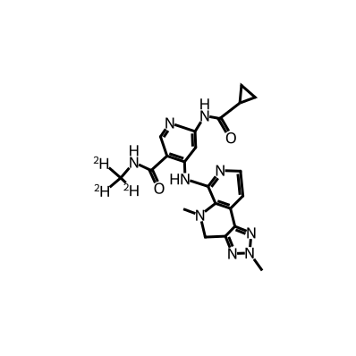 [2H]C([2H])([2H])NC(=O)c1cnc(NC(=O)C2CC2)cc1Nc1nccc2c1N(C)Cc1nn(C)nc1-2